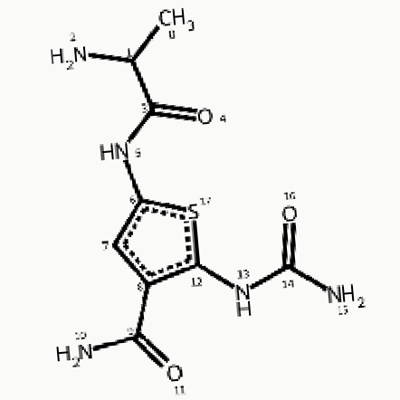 CC(N)C(=O)Nc1cc(C(N)=O)c(NC(N)=O)s1